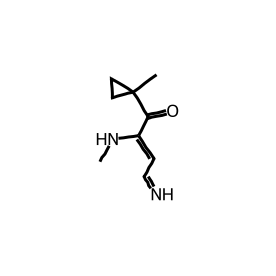 CN/C(=C\C=N)C(=O)C1(C)CC1